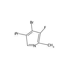 Cc1ncc(C(C)C)c(Br)c1F